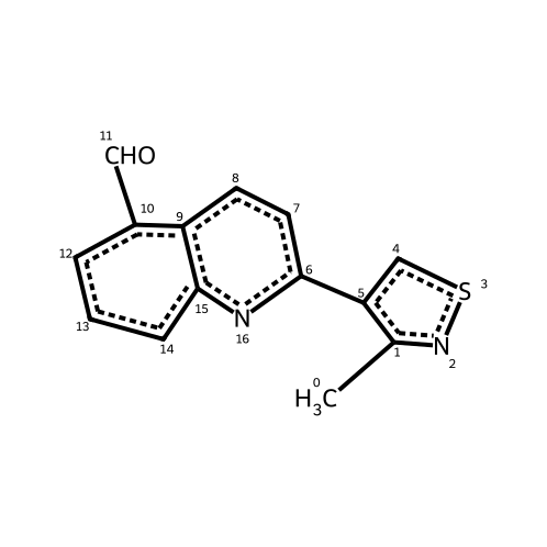 Cc1nscc1-c1ccc2c(C=O)cccc2n1